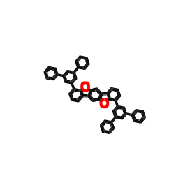 c1ccc(-c2cc(-c3ccccc3)cc(-c3cccc4c3oc3cc5c(cc34)oc3c(-c4cc(-c6ccccc6)cc(-c6ccccc6)c4)cccc35)c2)cc1